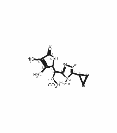 CC1=C(C)C(C(OC(=O)O)c2nnc(C3CC3)n2C)NC1=O